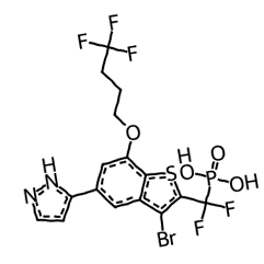 O=P(O)(O)C(F)(F)c1sc2c(OCCCC(F)(F)F)cc(-c3ccn[nH]3)cc2c1Br